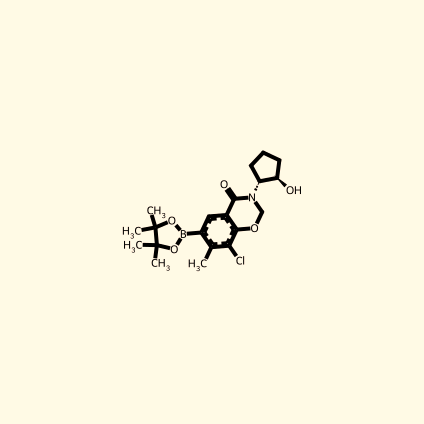 Cc1c(B2OC(C)(C)C(C)(C)O2)cc2c(c1Cl)OCN([C@@H]1CCC[C@H]1O)C2=O